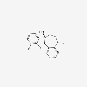 C[C@H]1CC[C@@](O)(c2cccc(F)c2F)Cc2cccnc21